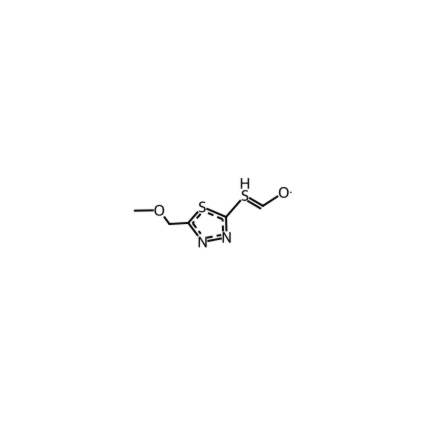 COCc1nnc([SH]=C[O])s1